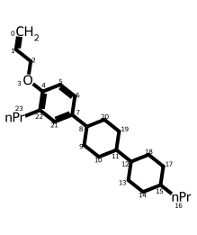 C=CCOc1ccc(C2CCC(C3CCC(CCC)CC3)CC2)cc1CCC